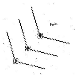 CCCCCCCCCCCCCCCCCCOP(=O)([O-])OCCCCCCCCCCCCCCCCCC.CCCCCCCCCCCCCCCCCCOP(=O)([O-])OCCCCCCCCCCCCCCCCCC.CCCCCCCCCCCCCCCCCCOP(=O)([O-])OCCCCCCCCCCCCCCCCCC.[Fe+3]